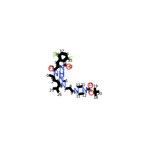 C/C(=C/c1ncn(CCCN2CCN(C(=O)OC(C)(C)C)CC2)c1C(C)C)NC(=O)/C(=C/c1cc(F)ccc1F)NC=O